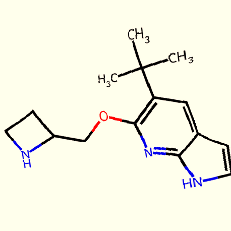 CC(C)(C)c1cc2cc[nH]c2nc1OCC1CCN1